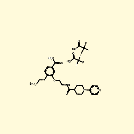 CCOC(=O)CCc1ccc(C(=N)N)cc1OCCNC(=O)C1CCN(c2ccncc2)CC1.O=C(O)C(F)(F)F.O=C(O)C(F)(F)F